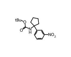 CC(C)(C)OC(=O)NC1(c2cccc([N+](=O)[O-])c2)CCCC1